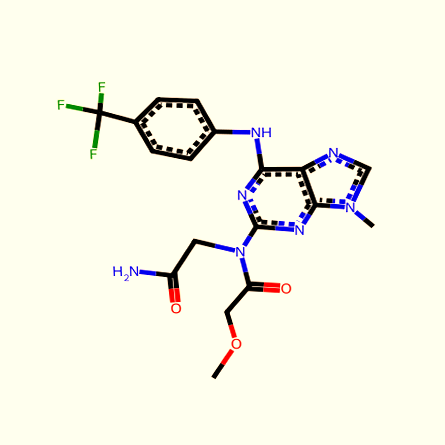 COCC(=O)N(CC(N)=O)c1nc(Nc2ccc(C(F)(F)F)cc2)c2ncn(C)c2n1